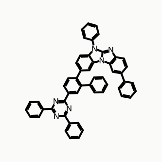 c1ccc(-c2ccc3nc4n(-c5ccccc5)c5ccc(-c6ccc(-c7nc(-c8ccccc8)nc(-c8ccccc8)n7)cc6-c6ccccc6)cc5n4c3c2)cc1